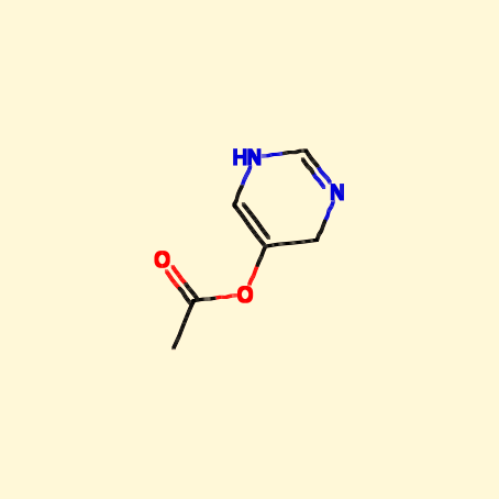 CC(=O)OC1=CNC=NC1